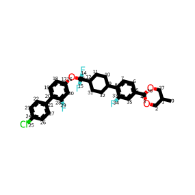 CC1COC(c2ccc(C3CCC(C(F)(F)Oc4ccc(-c5ccc(Cl)cc5)c(F)c4)CC3)c(F)c2)OC1